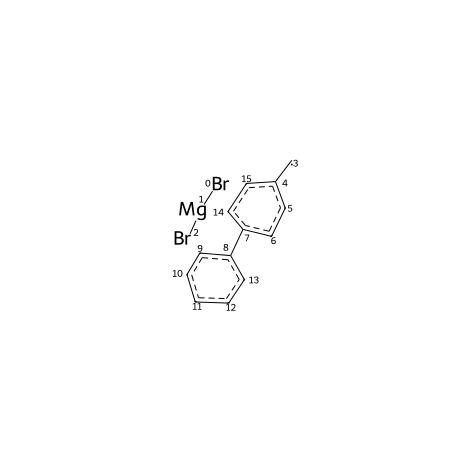 [Br][Mg][Br].[CH2]c1ccc(-c2ccccc2)cc1